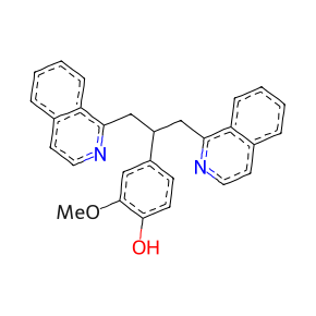 COc1cc(C(Cc2nccc3ccccc23)Cc2nccc3ccccc23)ccc1O